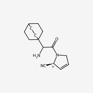 N#C[C@@H]1C=CCN1C(=O)C(N)C12CCC(CC1)CC2